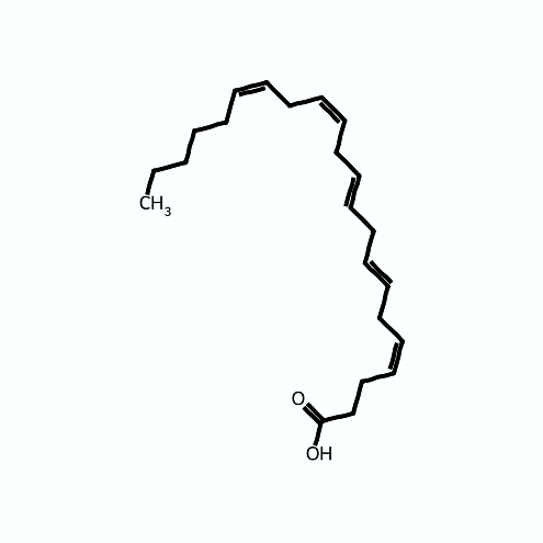 CCCCC/C=C\C/C=C\C/C=C/C/C=C/C/C=C\CCC(=O)O